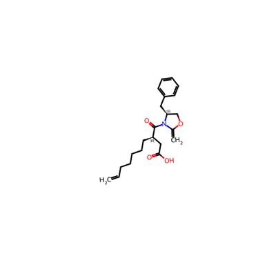 C=CCCCCC[C@H](CC(=O)O)C(=O)N1C(=C)OC[C@@H]1Cc1ccccc1